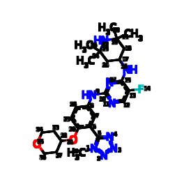 Cn1nnnc1-c1cc(Nc2ncc(F)c(NC3CC(C)(C)NC(C)(C)C3)n2)ccc1OC1CCOCC1